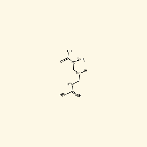 [2H][13CH](C[15NH]C(=[15NH])[15NH2])C[13C@H]([15NH2])C(=O)O